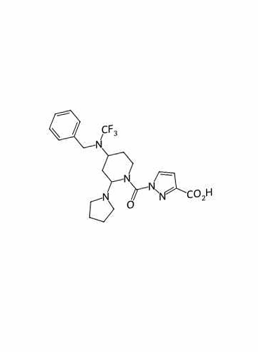 O=C(O)c1ccn(C(=O)N2CCC(N(Cc3ccccc3)C(F)(F)F)CC2N2CCCC2)n1